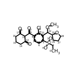 CCS(=O)(=O)c1ccc(C(=O)C2C(=O)CCCC2=O)c(Cl)c1C(OC)C1CCCO1